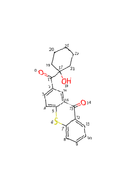 O=C(c1ccc2sc3ccccc3c(=O)c2c1)C1(O)CCCCC1